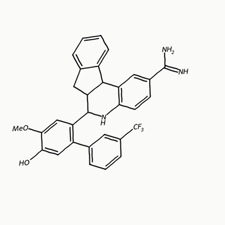 COc1cc(C2Nc3ccc(C(=N)N)cc3C3c4ccccc4CC23)c(-c2cccc(C(F)(F)F)c2)cc1O